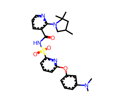 CC1CN(c2ncccc2C(=O)NS(=O)(=O)c2cccc(Oc3cccc(N(C)C)c3)n2)C(C)(C)C1